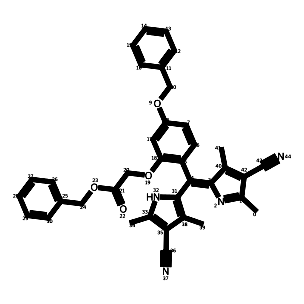 CC1=N/C(=C(/c2ccc(OCc3ccccc3)cc2OCC(=O)OCc2ccccc2)c2[nH]c(C)c(C#N)c2C)C(C)=C1C#N